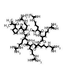 CNC(CCCNC(=N)N)C(=O)NC(CCCNC(=N)N)C(=O)NC(CCCNC(=N)N)C(=O)NC(CCCNC(=N)N)C(=O)NC(CCCNC(=N)N)C(=O)NC(CCCNC(=N)N)C(=O)N1CCCC1C(=O)C(C)C